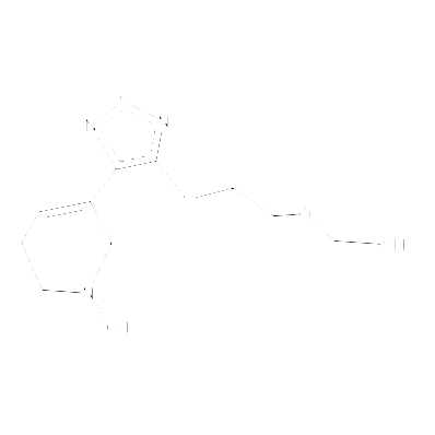 CCOCCSc1nsnc1C1=CCCN(C)C1